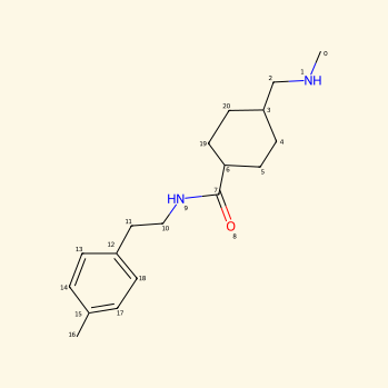 CNCC1CCC(C(=O)NCCc2ccc(C)cc2)CC1